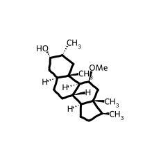 CO[C@H]1C[C@]2(C)[C@@H](C)CC[C@H]2[C@@H]2CC[C@H]3C[C@H](O)[C@H](C)C[C@]3(C)[C@H]21